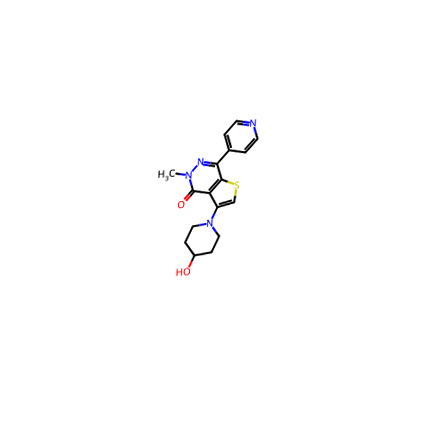 Cn1nc(-c2ccncc2)c2scc(N3CCC(O)CC3)c2c1=O